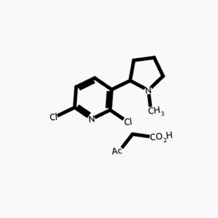 CC(=O)CC(=O)O.CN1CCCC1c1ccc(Cl)nc1Cl